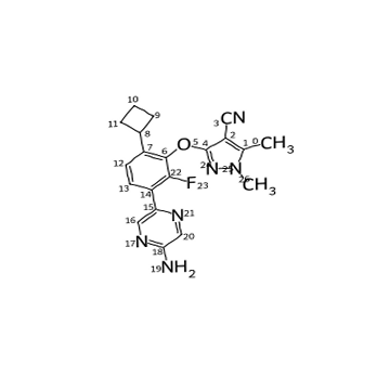 Cc1c(C#N)c(Oc2c(C3CCC3)ccc(-c3cnc(N)cn3)c2F)nn1C